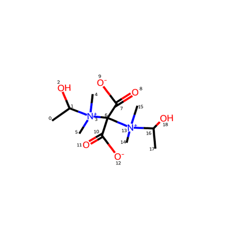 CC(O)[N+](C)(C)C(C(=O)[O-])(C(=O)[O-])[N+](C)(C)C(C)O